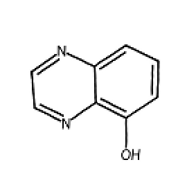 Oc1cccc2nccnc12